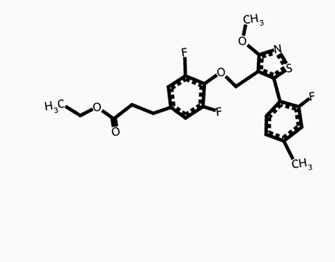 CCOC(=O)CCc1cc(F)c(OCc2c(OC)nsc2-c2ccc(C)cc2F)c(F)c1